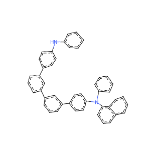 c1ccc(Nc2ccc(-c3cccc(-c4cccc(-c5ccc(N(c6ccccc6)c6cccc7ccccc67)cc5)c4)c3)cc2)cc1